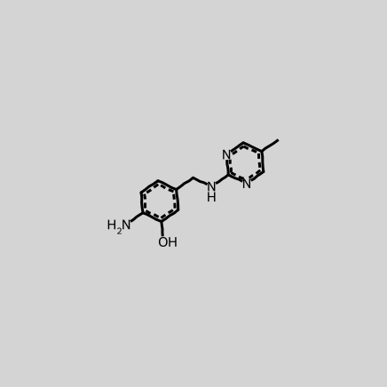 Cc1cnc(NCc2ccc(N)c(O)c2)nc1